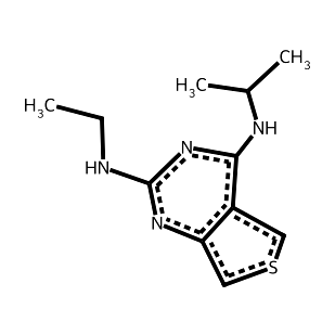 CCNc1nc(NC(C)C)c2cscc2n1